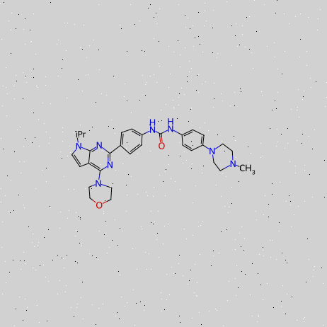 CC(C)n1ccc2c(N3CCOCC3)nc(-c3ccc(NC(=O)Nc4ccc(N5CCN(C)CC5)cc4)cc3)nc21